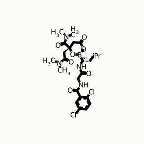 CC(C)C[C@H](NC(=O)CNC(=O)c1cc(Cl)ccc1Cl)B1OC(=O)C[C@@](CC(=O)N(C)C)(C(=O)N(C)C)O1